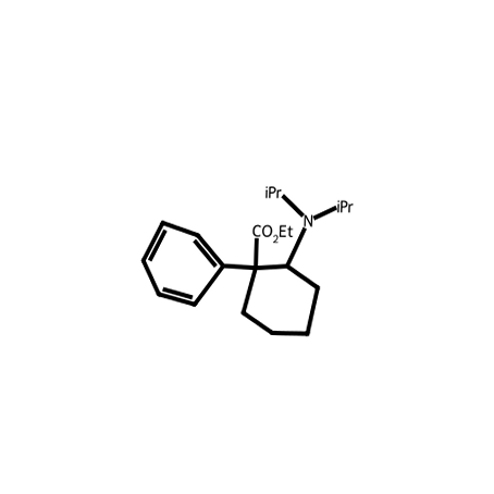 CCOC(=O)C1(c2ccccc2)CCCCC1N(C(C)C)C(C)C